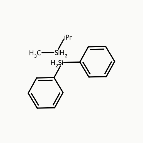 C[SiH2]C(C)C.c1ccc([SiH2]c2ccccc2)cc1